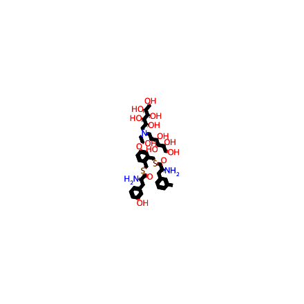 Cc1cccc(C[C@H](N)C(=O)SCc2cc(OCCN(C[C@H](O)[C@@H](O)[C@H](O)[C@H](O)CO)C[C@H](O)[C@@H](O)[C@H](O)[C@H](O)CO)ccc2CSC(=O)[C@@H](N)Cc2cccc(O)c2)c1